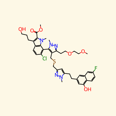 COCCOCCc1nn(C)c(-c2c(Cl)ccc3c(CCCO)c(C(=O)OC)n(C)c23)c1CSCc1cc(CCc2cc(O)c3ccc(F)cc3c2)n(C)n1